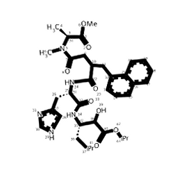 COC(=O)[C@H](C)N(C)C(=O)CC(Cc1cccc2ccccc12)C(=O)N[C@@H](Cc1c[nH]cn1)C(=O)N[C@@H](CC(C)C)C(O)C(=O)OC(C)C